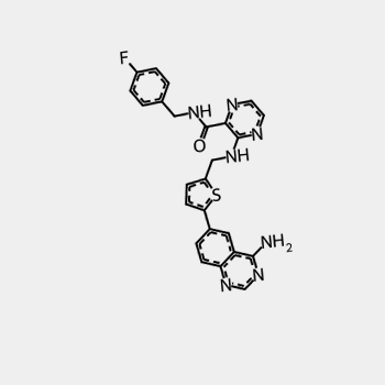 Nc1ncnc2ccc(-c3ccc(CNc4nccnc4C(=O)NCc4ccc(F)cc4)s3)cc12